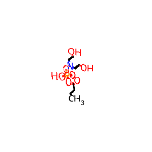 CCCC(=O)OP(=O)(O)ON(CCO)CCO